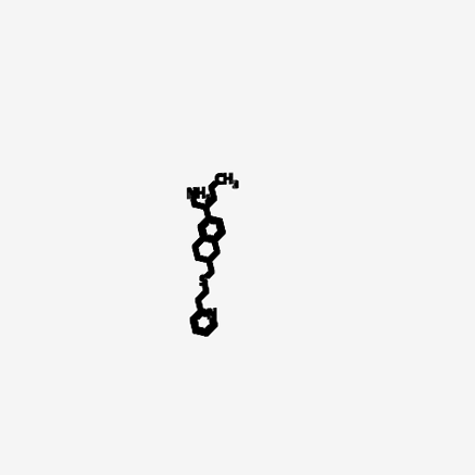 CCCC(CN)c1ccc2c(c1)CCC(CSCCc1ccccn1)C2